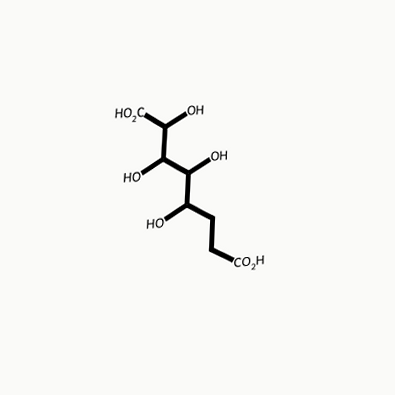 O=C(O)CCC(O)C(O)C(O)C(O)C(=O)O